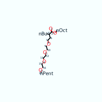 CCCCCCCCOC(=O)C(CCCC)CCOCCOCCOCCOCCCCC